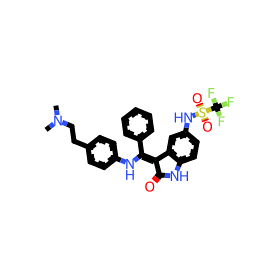 CN(C)CCc1ccc(N/C(=C2\C(=O)Nc3ccc(NS(=O)(=O)C(F)(F)F)cc32)c2ccccc2)cc1